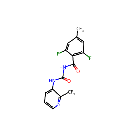 O=C(NC(=O)c1c(F)cc(C(F)(F)F)cc1F)Nc1cccnc1C(F)(F)F